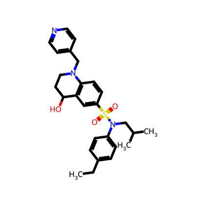 CCc1ccc(N(CC(C)C)S(=O)(=O)c2ccc3c(c2)C(O)CCN3Cc2ccncc2)cc1